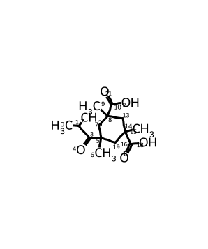 CC(C)C(=O)C1(C)CC(C)(C(=O)O)CC(C)(C(=O)O)C1